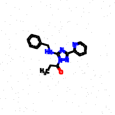 CCC(=O)n1nc(-c2ccccn2)nc1NCc1ccccc1